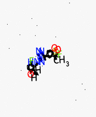 CC1=C(F)S(=O)(=O)c2ccc(-c3cnc(NCc4c(F)ccc5c4[C@H]4C[C@H]4O5)n4cnnc34)cc21